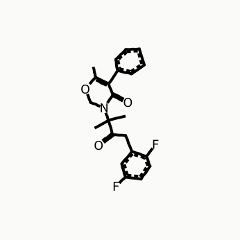 CC1=C(c2ccccc2)C(=O)N(C(C)(C)C(=O)Cc2cc(F)ccc2F)CO1